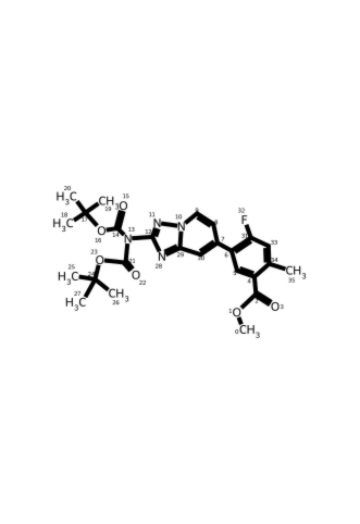 COC(=O)c1cc(-c2ccn3nc(N(C(=O)OC(C)(C)C)C(=O)OC(C)(C)C)nc3c2)c(F)cc1C